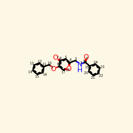 O=C(NCc1cc(=O)c(OCc2ccccc2)co1)c1ccccc1